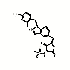 CS(=O)(=O)NN1C(=O)SC(=Cc2ccc3c(cnn3Cc3ccc(C(F)(F)F)cc3C(F)(F)F)c2)C1=O